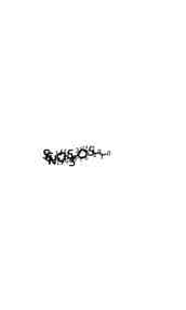 CCCCSc1ccc(C(=S)Sc2ccc(N=C=S)cc2)cc1